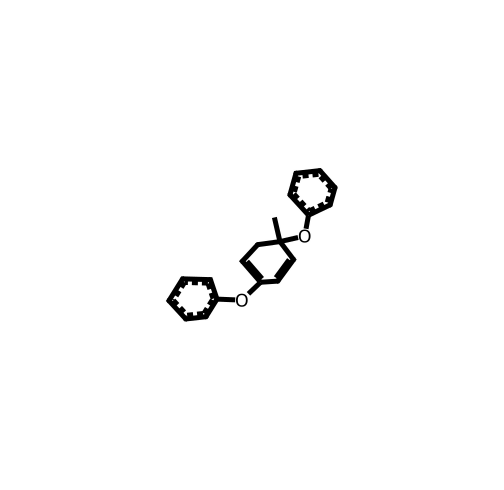 CC1(Oc2ccccc2)C=CC(Oc2ccccc2)=CC1